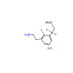 COCC(F)(F)c1cccc(CCN)c1F.Cl